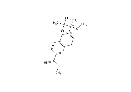 CO[C@@](C)([C@H]1CCc2cc(C(=N)SC)ccc2C1)C(C)(C)C